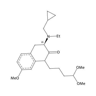 CCN(CC1CC1)[C@@H]1Cc2ccc(OC)cc2C(CCCC(OC)OC)C1=O